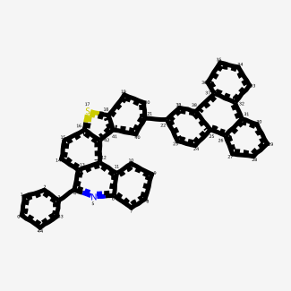 c1ccc(-c2nc3ccccc3c3c2ccc2sc4ccc(-c5ccc6c7ccccc7c7ccccc7c6c5)cc4c23)cc1